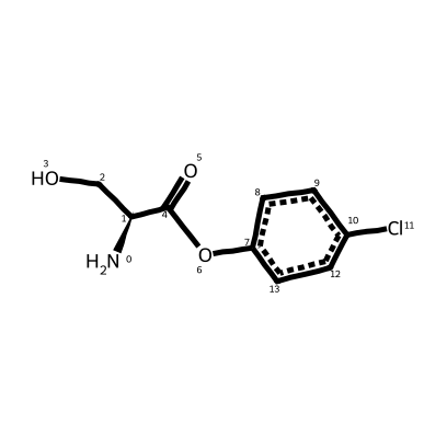 N[C@@H](CO)C(=O)Oc1ccc(Cl)cc1